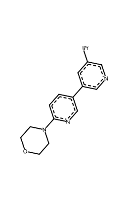 CC(C)c1cncc(-c2ccc(N3CCOCC3)nc2)c1